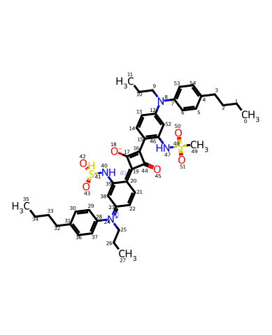 CCCCc1ccc(N(CCC)c2ccc(C3=C([O-])/C(=C4C=C/C(=[N+](\CCC)c5ccc(CCCC)cc5)C=C/4N[SH](=O)=O)C3=O)c(NS(C)(=O)=O)c2)cc1